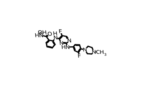 CN1CCN(c2ccc(Nc3ncc(F)c(Nc4ccccc4C(=O)NO)n3)cc2F)CC1